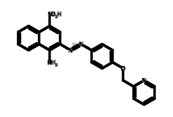 Nc1c(/N=N/c2ccc(OCc3ccccn3)cc2)cc(S(=O)(=O)O)c2ccccc12